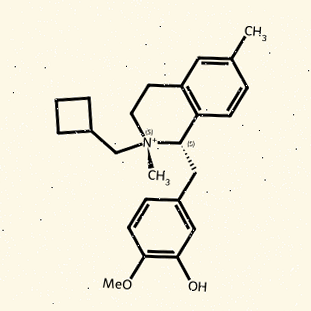 COc1ccc(C[C@H]2c3ccc(C)cc3CC[N@@+]2(C)CC2CCC2)cc1O